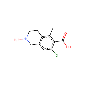 BN1CCc2c(cc(Cl)c(C(=O)O)c2C)C1